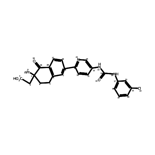 CCCC1(CC(=O)O)CCc2cc(-c3ccc(NC(=O)Nc4cccc(Cl)c4)cn3)ccc2C1=O